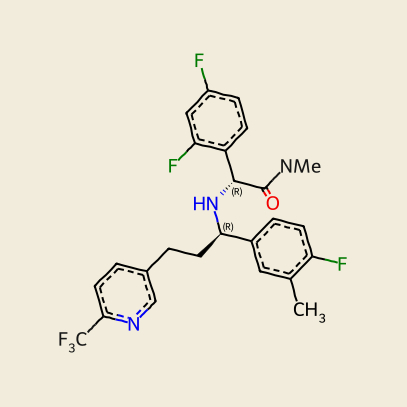 CNC(=O)[C@H](N[C@H](CCc1ccc(C(F)(F)F)nc1)c1ccc(F)c(C)c1)c1ccc(F)cc1F